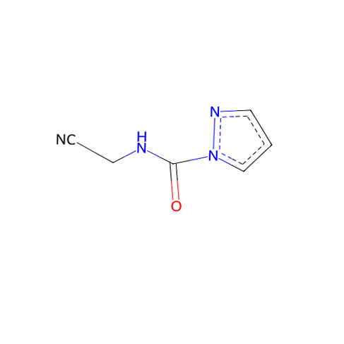 N#CCNC(=O)n1cccn1